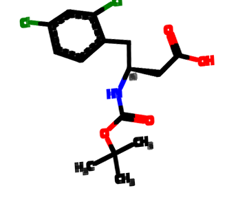 CC(C)(C)OC(=O)N[C@H](CC(=O)O)Cc1ccc(Cl)cc1Cl